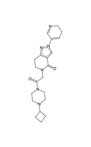 O=C(CN1CCc2nn(C3=CCCN=C3)cc2C1=O)N1CCN(C2CCC2)CC1